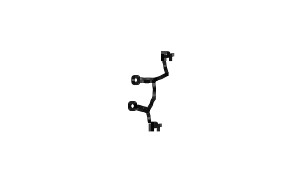 CC(C)CC(=O)CC(=O)C(C)C